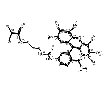 COC(=O)c1ccc(NC(=S)NCCCNC(=O)C(C)C)cc1-c1c2cc(Br)c(=O)c(Br)c-2oc2c(Br)c(O)c(Br)cc12